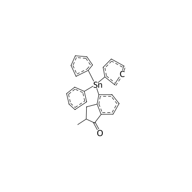 CC1Cc2c(ccc[c]2[Sn]([c]2ccccc2)([c]2ccccc2)[c]2ccccc2)C1=O